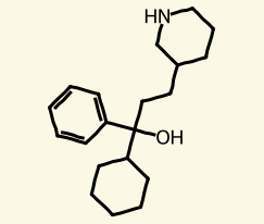 OC(CCC1CCCNC1)(c1ccccc1)C1CCCCC1